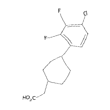 O=C(O)CC1CCC(c2ccc(Cl)c(F)c2F)CC1